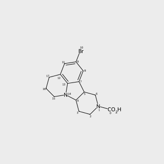 O=C(O)N1CCC2C(C1)c1cc(Br)cc3c1N2CCC3